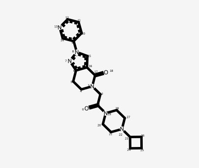 O=C(CN1CCc2nn(-c3cccnc3)cc2C1=O)N1CCN(C2CCC2)CC1